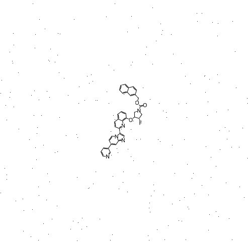 O=C(OCc1ccc2ccccc2c1)N1CC(F)C(Oc2cccc3ccc(-c4cnc5cc(-c6cccnc6)ccn45)nc23)C1